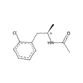 CC(=O)N[C@H](C)Cc1ccccc1Cl